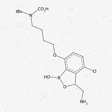 CC(C)(C)N(CCCCOc1ccc(Cl)c2c1B(O)OC2CN)C(=O)O